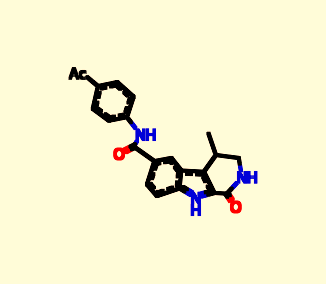 CC(=O)c1ccc(NC(=O)c2ccc3[nH]c4c(c3c2)C(C)CNC4=O)cc1